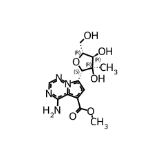 COC(=O)c1cc([C@@H]2O[C@H](CO)[C@@H](O)[C@@]2(C)O)n2ncnc(N)c12